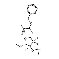 CO[C@@H]1O[C@H](CC(OCc2ccccc2)[PH](C)=O)[C@H]2OC(C)(C)O[C@@H]12